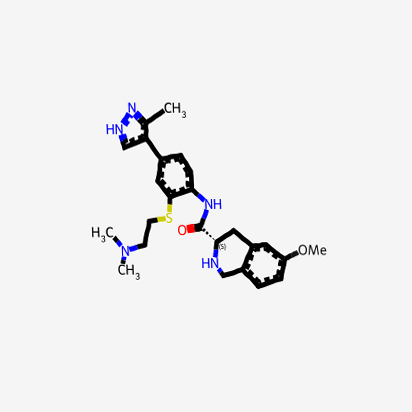 COc1ccc2c(c1)C[C@@H](C(=O)Nc1ccc(-c3c[nH]nc3C)cc1SCCN(C)C)NC2